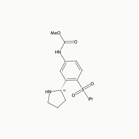 COC(=O)Nc1ccc(S(=O)(=O)C(C)C)c([C@@H]2CCCN2)c1